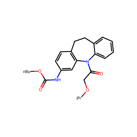 CCCCOC(=O)Nc1ccc2c(c1)N(C(=O)COC(C)C)c1ccccc1CC2